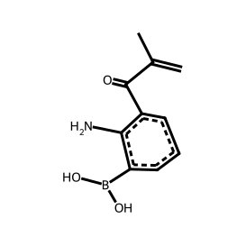 C=C(C)C(=O)c1cccc(B(O)O)c1N